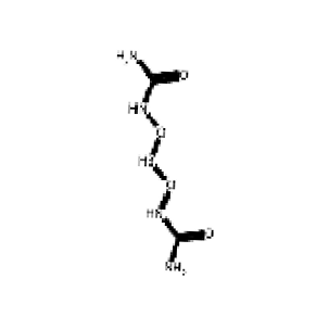 NC(=O)NOBONC(N)=O